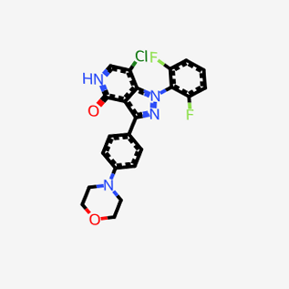 O=c1[nH]cc(Cl)c2c1c(-c1ccc(N3CCOCC3)cc1)nn2-c1c(F)cccc1F